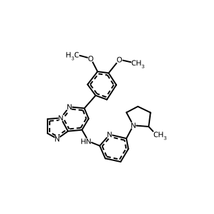 COc1ccc(-c2cc(Nc3cccc(N4CCCC4C)n3)c3nccn3n2)cc1OC